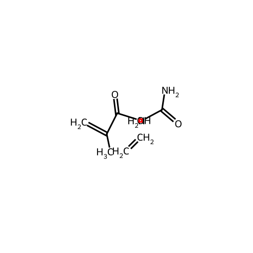 C=C.C=C(C)C(=O)O.NC(N)=O